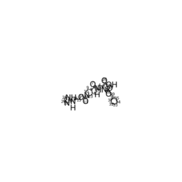 O=C(N[C@@H](CNC(=O)C1CCN(C(=O)OCCNC2=NCCN2)CC1)C(=O)O)OCc1ccccc1